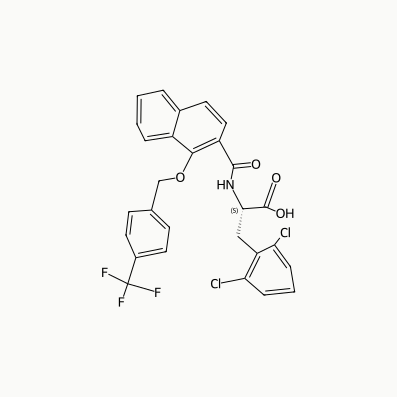 O=C(N[C@@H](Cc1c(Cl)cccc1Cl)C(=O)O)c1ccc2ccccc2c1OCc1ccc(C(F)(F)F)cc1